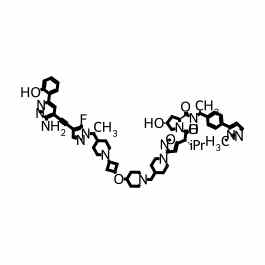 CC(C)[C@@H](C(=O)N1C[C@H](O)C[C@H]1C(=O)N[C@@H](C)c1ccc(-c2ccnn2C)cc1)c1cc(N2CCC(CN3CCC(OC4CC(N5CCC([C@@H](C)n6ncc(C#Cc7cc(-c8ccccc8O)nnc7N)c6F)CC5)C4)CC3)CC2)no1